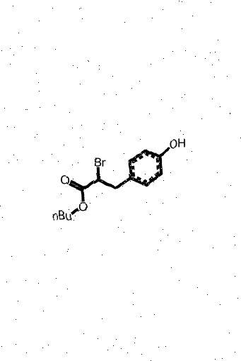 CCCCOC(=O)C(Br)Cc1ccc(O)cc1